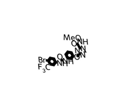 CONC(=O)c1ncnc(Oc2cccc(NC(=O)Nc3ccc(Br)c(C(F)(F)F)c3)c2)n1